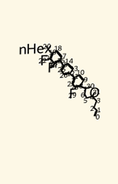 C=CCCC1CCC(c2ccc(-c3ccc(-c4ccc(CCCCCC)c(F)c4F)cc3)cc2F)CO1